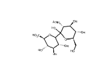 CC(=O)N[C@@H]1[C@@H](O)[C@H](O)[C@@H](CO)OC1(O)C1O[C@H](C(=O)O)[C@@H](O)[C@H](O)[C@H]1O